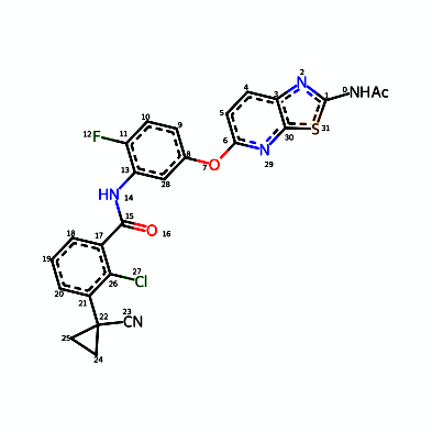 CC(=O)Nc1nc2ccc(Oc3ccc(F)c(NC(=O)c4cccc(C5(C#N)CC5)c4Cl)c3)nc2s1